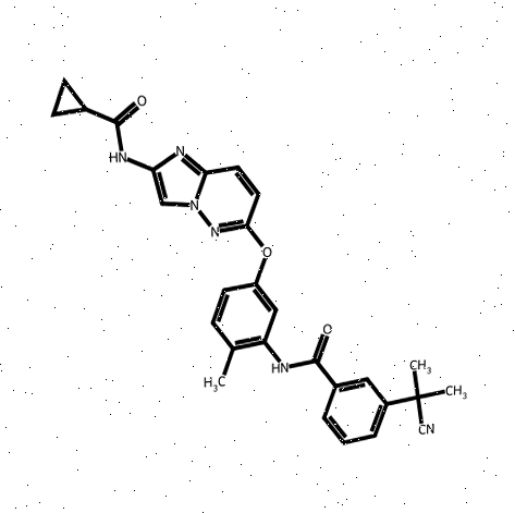 Cc1ccc(Oc2ccc3nc(NC(=O)C4CC4)cn3n2)cc1NC(=O)c1cccc(C(C)(C)C#N)c1